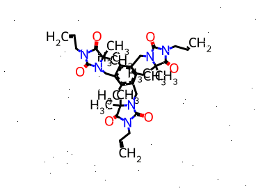 C=CCN1C(=O)N(Cc2c(C)c(CN3C(=O)N(CC=C)C(=O)C3(C)C)c(C)c(CN3C(=O)N(CC=C)C(=O)C3(C)C)c2C)C(C)(C)C1=O